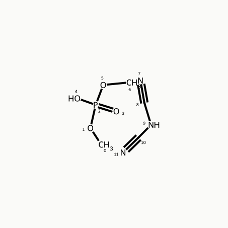 COP(=O)(O)OC.N#CNC#N